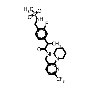 CC(C(=O)NCc1ccc(C(F)(F)F)nc1N1CCCCC1)c1ccc(CNS(C)(=O)=O)c(F)c1